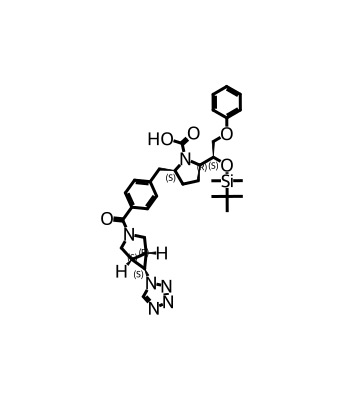 CC(C)(C)[Si](C)(C)O[C@H](COc1ccccc1)[C@H]1CC[C@@H](Cc2ccc(C(=O)N3C[C@@H]4[C@H](C3)[C@H]4n3cnnn3)cc2)N1C(=O)O